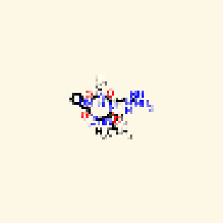 CC[C@@H]1NC(=O)[C@H](CCCNC(=N)N)NC(=O)[C@](C)(NC(=O)C(C)C)CCNC(=O)[C@@H](CC2CCCCC2)NC1=O